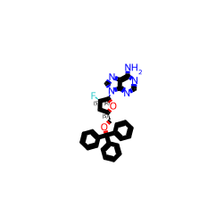 Nc1ncnc2c1ncn2[C@@H]1O[C@H](COC(c2ccccc2)(c2ccccc2)c2ccccc2)C[C@@H]1F